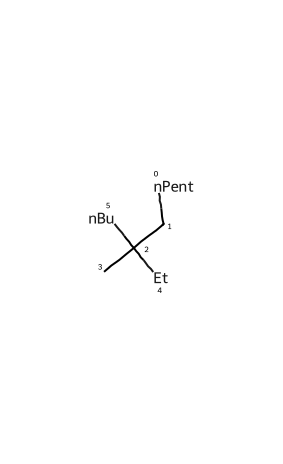 [CH2]CCCCCC(C)(CC)CCCC